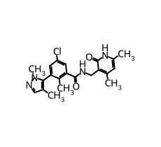 Cc1cc(C)c(CNC(=O)c2cc(Cl)cc(-c3c(C)cnn3C)c2C)c(=O)[nH]1